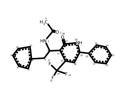 CC(=O)NC(Cc1ccccc1)c1c(C(F)(F)F)cc(-c2ccccc2)[nH]c1=O